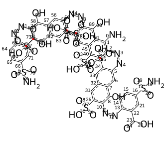 Nc1c(/N=N\c2cc3c(O)c(/N=N\c4ccc(S(N)(=O)=O)cc4C(=O)O)c(S(=O)(=O)O)cc3cc2S(=O)(=O)O)cc(S(=O)(=O)O)c2cc(S(=O)(=O)O)c(/N=N\c3cc4c(O)c(/N=N\c5ccc(S(N)(=O)=O)cc5C(=O)O)c(S(=O)(=O)O)cc4cc3S(=O)(=O)O)c(O)c12